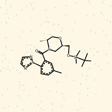 Cc1ccc(-n2nccn2)c(C(=O)N2C[C@H](CO[Si](C)(C)C(C)(C)C)OC[C@H]2C)c1